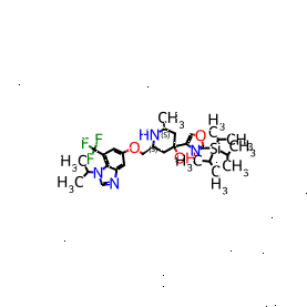 CC(C)n1cnc2cc(OC[C@@H]3CC(O)(c4coc([Si](C(C)C)(C(C)C)C(C)C)n4)C[C@H](C)N3)cc(C(F)(F)F)c21